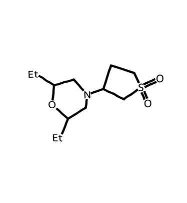 CCC1CN(C2CCS(=O)(=O)C2)CC(CC)O1